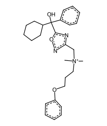 C[N+](C)(CCCOc1ccccc1)Cc1noc(C(O)(c2ccccc2)C2CCCCC2)n1